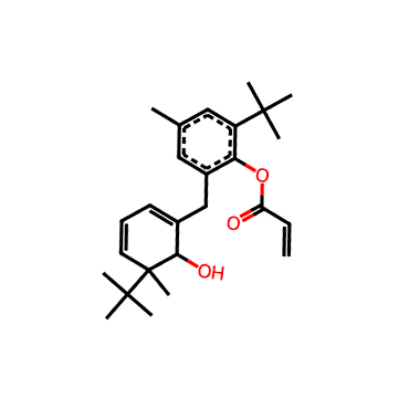 C=CC(=O)Oc1c(CC2=CC=CC(C)(C(C)(C)C)C2O)cc(C)cc1C(C)(C)C